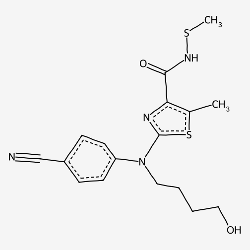 CSNC(=O)c1nc(N(CCCCO)c2ccc(C#N)cc2)sc1C